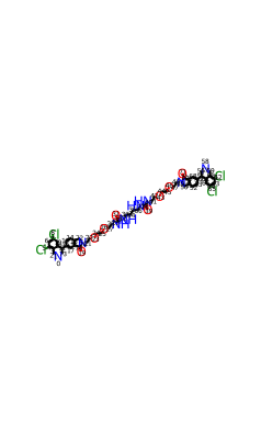 CN1Cc2c(Cl)cc(Cl)cc2C(c2ccc3c(c2)C(=O)N(CCOCCOCCNC(=O)NCCCCNC(=O)NCCOCCOCCN2Cc4ccc(C5CN(C)Cc6c(Cl)cc(Cl)cc65)cc4C2=O)C3)C1